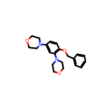 c1ccc(COc2ccc(N3CCOCC3)cc2N2CCOCC2)cc1